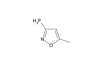 Cc1cc(P)no1